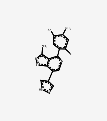 CC(=O)c1cc(-c2ncc(-c3cn[nH]c3)c3onc(N)c23)c(F)cc1N